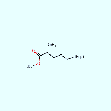 CCCCCCCCCCCC(=O)OC(C)(C)C.[SnH2]